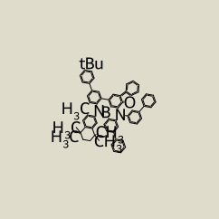 Cc1cc2c(cc1N1B3c4ccc(-c5ccccc5)cc4N(c4cccc(-c5ccccc5)c4)c4c3c(cc3c4oc4ccccc43)-c3cc(-c4ccc(C(C)(C)C)cc4)ccc31)C(C)(C)CCC2(C)C